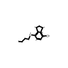 CCCCOc1ccc(Cl)c2c1CCC2